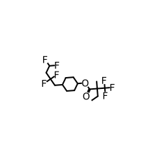 CCC(C)(C(=O)OC1CCC(CC(F)(F)CC(F)F)CC1)C(F)(F)F